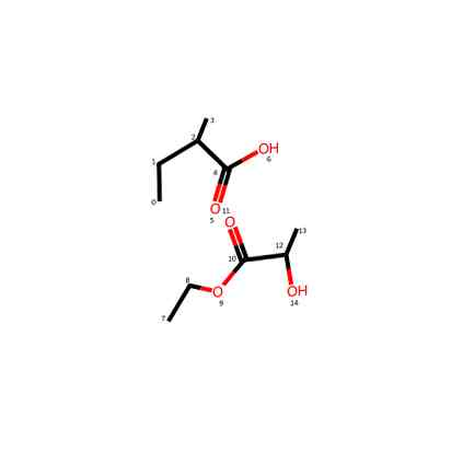 CCC(C)C(=O)O.CCOC(=O)C(C)O